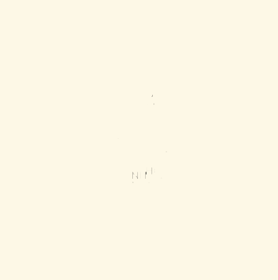 CC1(C)COCCC1N.Cl